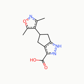 Cc1noc(C)c1C1Cc2[nH]nc(C(=O)O)c2C1